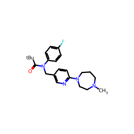 CN1CCCN(c2ccc(CN(C(=O)C(C)(C)C)c3ccc(F)cc3)cn2)CC1